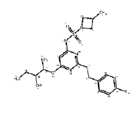 CC1CN(S(=O)(=O)Nc2cc(O[C@H](N)C(O)CO)nc(SCc3ccc(F)cc3)n2)C1